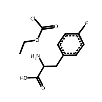 CCOC(=O)Cl.NC(Cc1ccc(F)cc1)C(=O)O